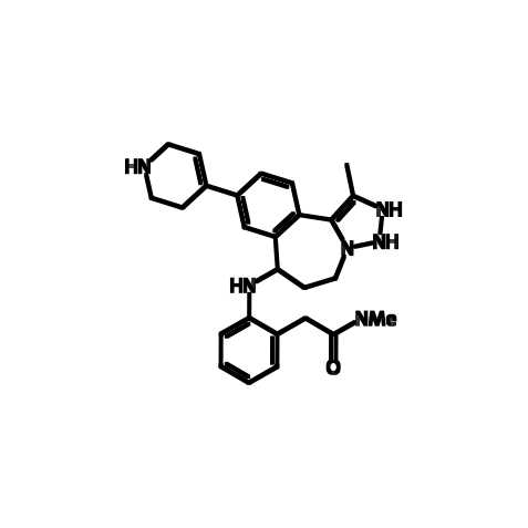 CNC(=O)Cc1ccccc1NC1CCN2NNC(C)=C2c2ccc(C3=CCNCC3)cc21